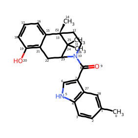 Cc1ccc2[nH]cc(C(=O)N3CC[C@@]4(C)c5cccc(O)c5CC3C4(C)C)c2c1